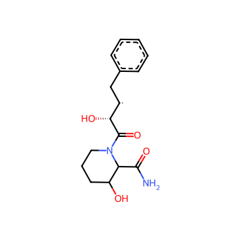 NC(=O)C1C(O)CCCN1C(=O)[C@H](O)[CH]Cc1ccccc1